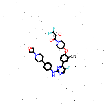 N#Cc1cc(-c2nc(Nc3ccc(C4CCN(C5COC5)CC4)cc3)ncc2F)ccc1OC1CCN(C(=O)[C@H](O)C(F)F)CC1